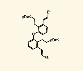 CCC=Cc1cccc(Oc2cccc(C=CCC)c2CCCCCCCCCCCC)c1CCCCCCCCCCCC